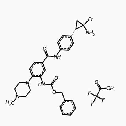 CC[C@]1(N)C[C@H]1c1ccc(NC(=O)c2ccc(N3CCN(C)CC3)c(NC(=O)OCc3ccccc3)c2)cc1.O=C(O)C(F)(F)F